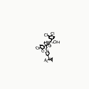 CC(=O)N(C1CC1)C1CCN(CCC(C)(C(=O)N[C@@H](CO)c2ccc(Cl)c(Cl)c2)c2ccc(Cl)c(Cl)c2)CC1